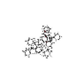 c1ccc(N(c2ccccc2)c2ccc3c(c2)C2(c4cc(N(c5ccccc5)c5ccccc5)ccc4-c4ccccc4-3)c3ccccc3-c3cc(-c4ccncc4)ccc32)cc1